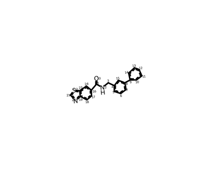 O=C(NCc1cccc(-c2ccccc2)c1)c1ccc2ncsc2c1